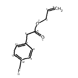 C=CCOC(=O)Cc1ccc(F)cc1